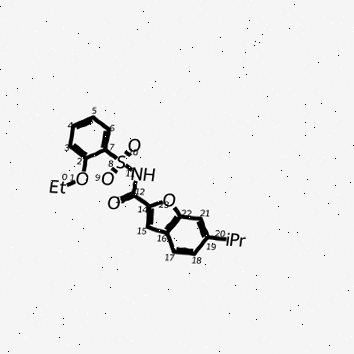 CCOc1ccccc1S(=O)(=O)NC(=O)c1cc2ccc(C(C)C)cc2o1